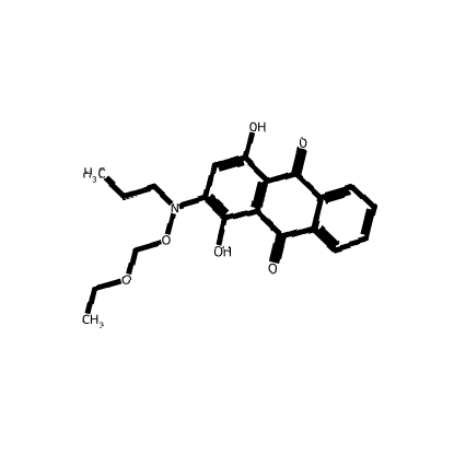 CCCN(OCOCC)c1cc(O)c2c(c1O)C(=O)c1ccccc1C2=O